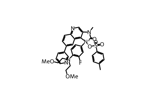 COCCN(CCOC)c1ccc([N+]2(OS(=O)(=O)c3ccc(C)cc3)C(=O)N(C)c3cnc4ccc(-c5cccnc5)cc4c32)cc1F